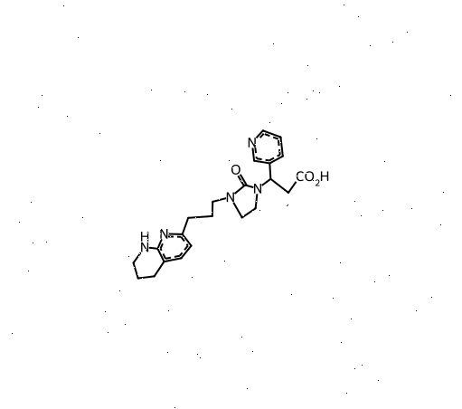 O=C(O)CC(c1cccnc1)N1CCN(CCCc2ccc3c(n2)NCCC3)C1=O